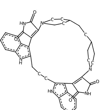 O=C1NC(=O)C2=C1c1c([nH]c3ccccc13)CCCc1[nH]c3ccccc3c1C1=C(C(=O)NC1=O)N1CCC(CCC3CCN2CC3)CC1